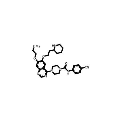 COCCOc1cc2ncnc(N3CCN(C(=O)Nc4ccc(C#N)cc4)CC3)c2cc1OCCC1CCCCN1